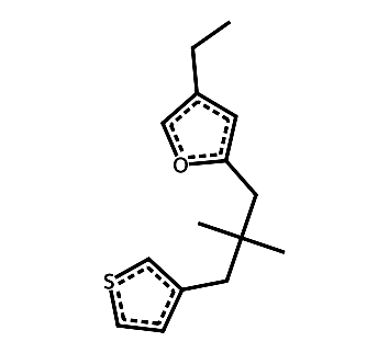 CCc1coc(CC(C)(C)Cc2ccsc2)c1